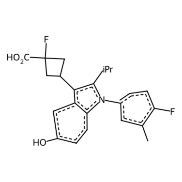 Cc1cc(-n2c(C(C)C)c(C3CC(F)(C(=O)O)C3)c3cc(O)ccc32)ccc1F